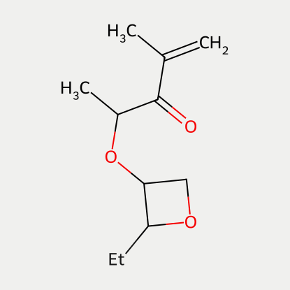 C=C(C)C(=O)C(C)OC1COC1CC